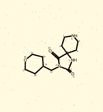 O=C1NC2(CCNCC2)C(=O)N1CC1CCOCC1